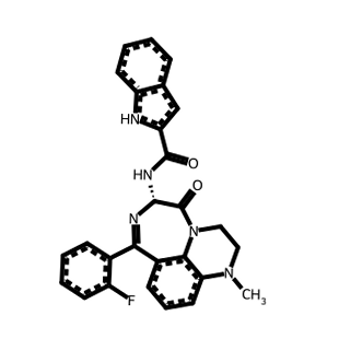 CN1CCN2C(=O)[C@@H](NC(=O)c3cc4ccccc4[nH]3)N=C(c3ccccc3F)c3cccc1c32